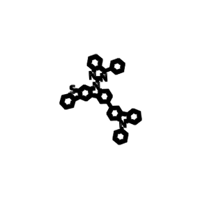 c1ccc(-c2nc(-n3c4ccc(-c5ccc6c(c5)c5ccccc5n6-c5ccccc5)cc4c4cc5c(cc43)sc3ccccc35)nc3ccccc23)cc1